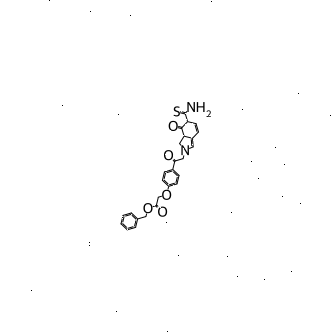 NC(=S)C1C=CC2=CN(CC(=O)c3ccc(OCC(=O)OCc4ccccc4)cc3)CC2C1=O